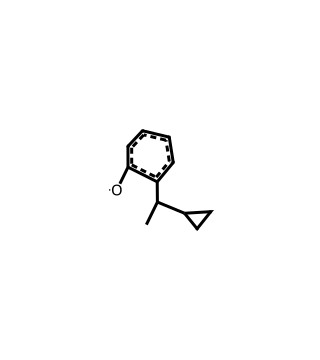 CC(c1ccccc1[O])C1CC1